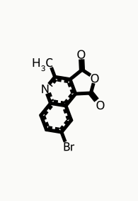 Cc1nc2ccc(Br)cc2c2c1C(=O)OC2=O